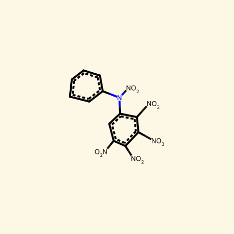 O=[N+]([O-])c1cc(N(c2ccccc2)[N+](=O)[O-])c([N+](=O)[O-])c([N+](=O)[O-])c1[N+](=O)[O-]